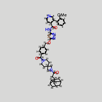 COc1ccccc1-c1cnccc1C(=O)Nc1nnc(OCc2ccc(C(=O)N3CCC4(CC3)CN(C(=O)CC35CC6CC(CC(C6)C3)C5)C4)cc2)s1